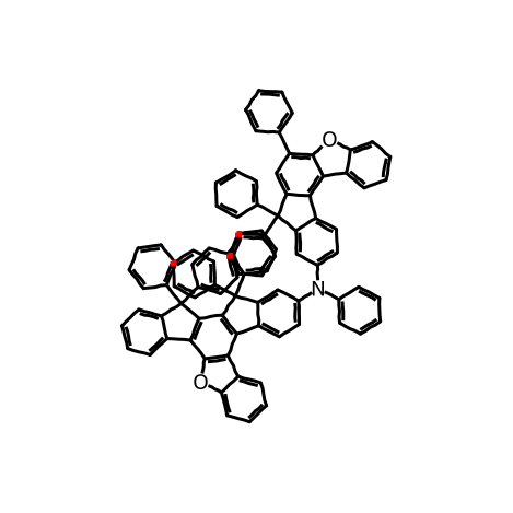 c1ccc(-c2cc3c(c4c2oc2ccccc24)-c2ccc(N(c4ccccc4)c4ccc5c(c4)C(c4ccccc4)(c4ccccc4)c4c6c(c7oc8ccccc8c7c4-5)-c4ccccc4C6(c4ccccc4)c4ccccc4)cc2C3(c2ccccc2)c2ccccc2)cc1